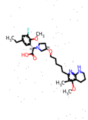 CCc1cc(F)c(OC)c([C@@H](C(=O)O)N2CC[C@@H](OCCCCCc3nc4c(c(OC)c3C)CCCN4)C2)c1